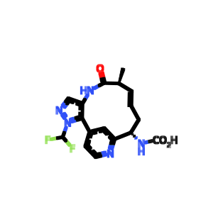 C[C@H]1/C=C/C[C@H](NC(=O)O)c2cc(ccn2)-c2c(cnn2C(F)F)NC1=O